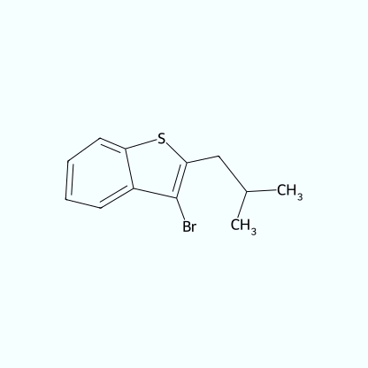 CC(C)Cc1sc2ccccc2c1Br